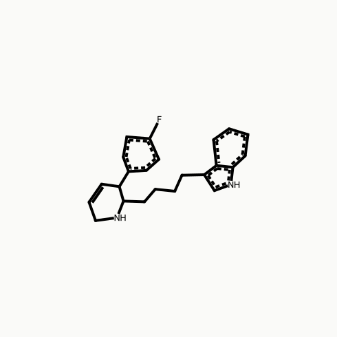 Fc1ccc(C2C=CCNC2CCCCc2c[nH]c3ccccc23)cc1